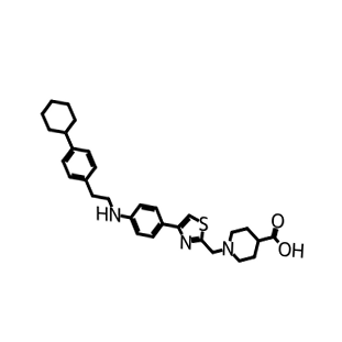 O=C(O)C1CCN(Cc2nc(-c3ccc(NCCc4ccc(C5CCCCC5)cc4)cc3)cs2)CC1